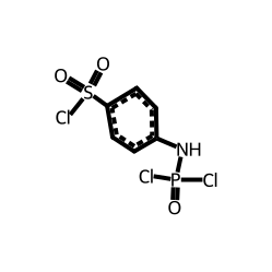 O=P(Cl)(Cl)Nc1ccc(S(=O)(=O)Cl)cc1